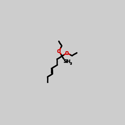 CCC=CCCC([SiH3])(OCC)OCC